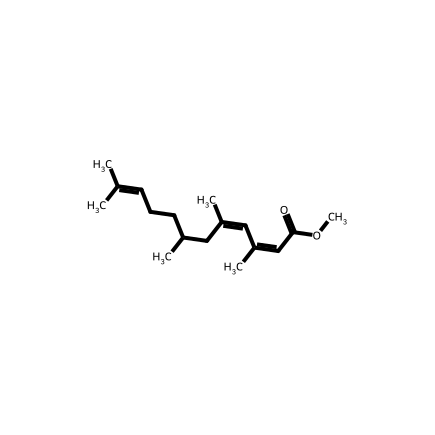 COC(=O)C=C(C)C=C(C)CC(C)CCC=C(C)C